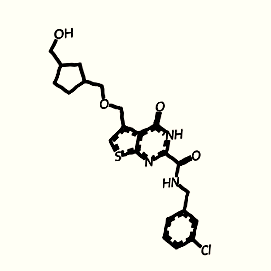 O=C(NCc1cccc(Cl)c1)c1nc2scc(COCC3CCC(CO)C3)c2c(=O)[nH]1